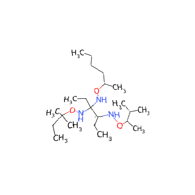 CCCCC(C)ONC(CC)(NOC(C)(C)CC)[C](CC)NOC(C)C(C)C